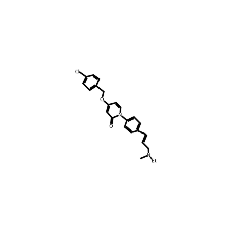 CCN(C)CC=Cc1ccc(-n2ccc(OCc3ccc(Cl)cc3)cc2=O)cc1